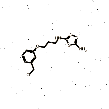 Nc1nnc(NCCCOc2cccc(CCl)c2)s1